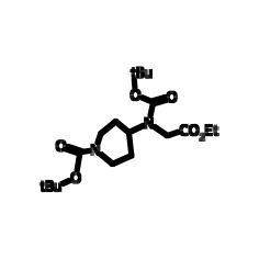 CCOC(=O)CN(C(=O)OC(C)(C)C)C1CCN(C(=O)OC(C)(C)C)CC1